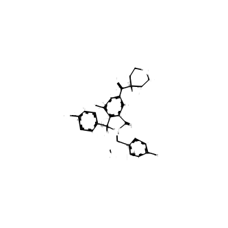 CCOC(=O)C[C@@H](c1ccc(Cl)cc1)N1C(=O)c2cc(C(=O)C3(F)CCOCC3)cc(F)c2C1(O)c1ccc(Cl)cc1